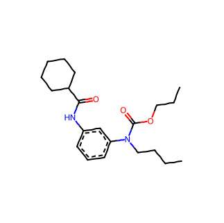 CCCCN(C(=O)OCCC)c1cccc(NC(=O)C2CCCCC2)c1